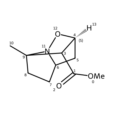 COC(=O)C1[C@@H]2CC3CCC1(C)N3O2